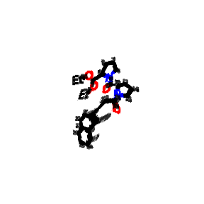 CCOC(OCC)C1CCCN1C(=O)[C@@H]1CCCN1C(=O)C[C@@H]1CCc2ccccc2C1